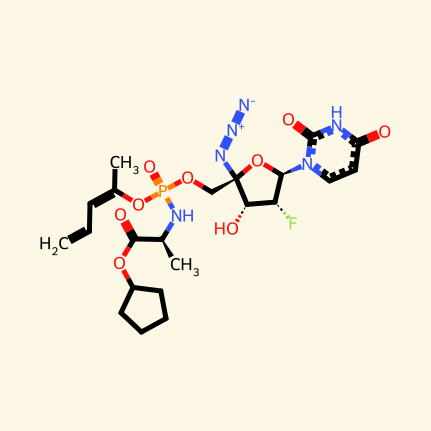 C=C/C=C(/C)OP(=O)(N[C@@H](C)C(=O)OC1CCCC1)OC[C@@]1(N=[N+]=[N-])O[C@@H](n2ccc(=O)[nH]c2=O)[C@H](F)[C@@H]1O